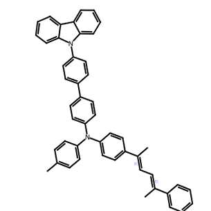 C/C(=C\C=C(/C)c1ccc(N(c2ccc(C)cc2)c2ccc(-c3ccc(-n4c5ccccc5c5ccccc54)cc3)cc2)cc1)c1ccccc1